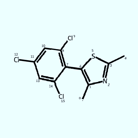 [CH2]c1nc(C)sc1-c1c(Cl)cc(Cl)cc1Cl